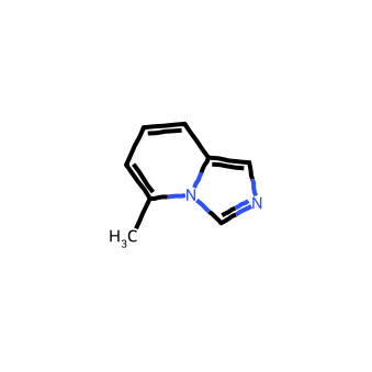 Cc1cccc2cncn12